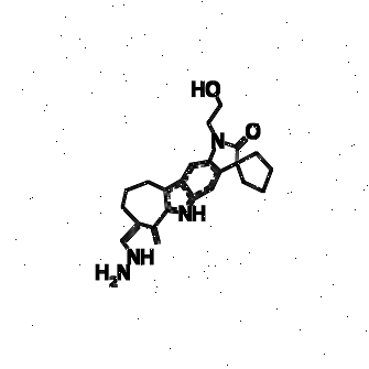 C=C1/C(=C\NN)CCCc2c1[nH]c1cc3c(cc21)N(CCO)C(=O)C31CCCC1